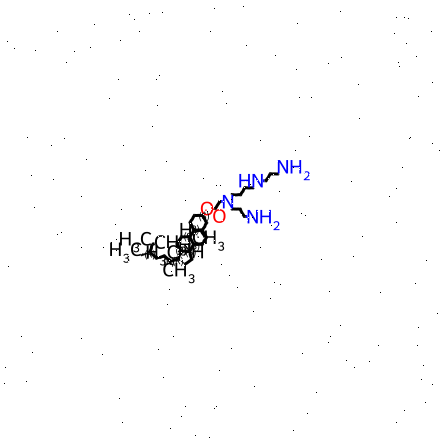 CC[C@H](CC[C@@H](C)[C@H]1CC[C@H]2[C@@H]3CC=C4C[C@@H](OC(=O)CN(CCCN)CCCCNCCCN)CC[C@]4(C)[C@H]3CC[C@]12C)C(C)C